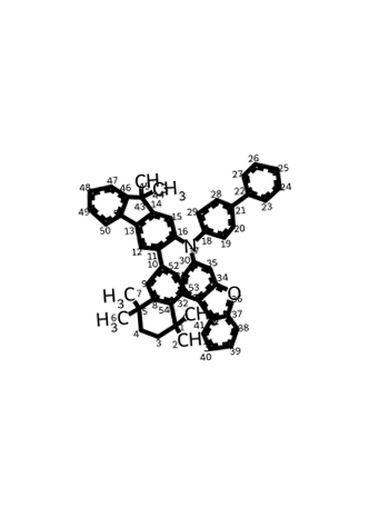 CC1(C)CCC(C)(C)c2cc(-c3cc4c(cc3N(c3ccc(-c5ccccc5)cc3)c3ccc5c(c3)oc3ccccc35)C(C)(C)c3ccccc3-4)ccc21